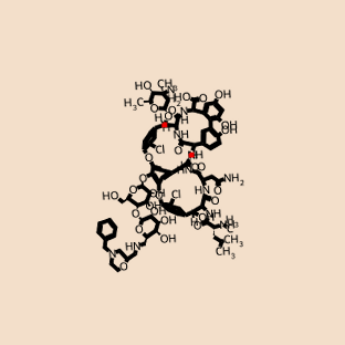 CN[C@H](CC(C)C)C(=O)NC1C(=O)NC(CC(N)=O)C(=O)N[C@H]2C(=O)N[C@H]3C(=O)N[C@H](C(=O)NC(C(=O)O)c4cc(O)cc(O)c4-c4cc3ccc4O)[C@H](O[C@H]3C[C@](C)(N)[C@@H](O)[C@H](C)O3)c3ccc(c(Cl)c3)Oc3cc2cc(c3O[C@@H]2O[C@H](CO)[C@@H](O[C@@H]3O[C@H](CNCC4CN(Cc5ccccc5)CCO4)[C@H](O)[C@H](O)[C@H]3O)[C@H](O)[C@H]2O)Oc2ccc(cc2Cl)[C@H]1O